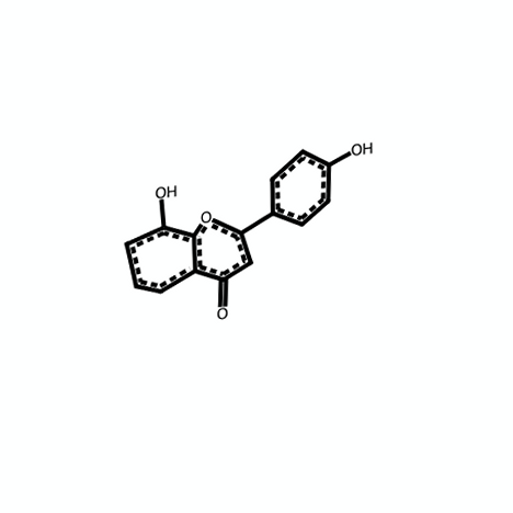 O=c1cc(-c2ccc(O)cc2)oc2c(O)cccc12